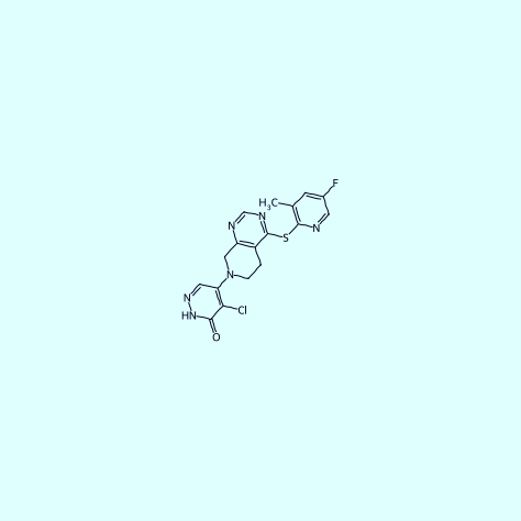 Cc1cc(F)cnc1Sc1ncnc2c1CCN(c1cn[nH]c(=O)c1Cl)C2